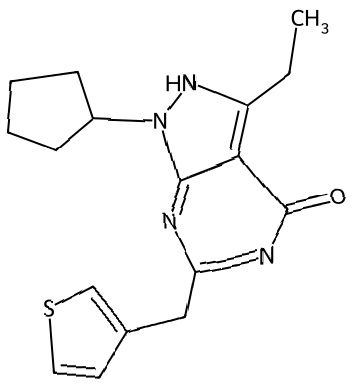 CCc1[nH]n(C2CCCC2)c2nc(Cc3ccsc3)nc(=O)c1-2